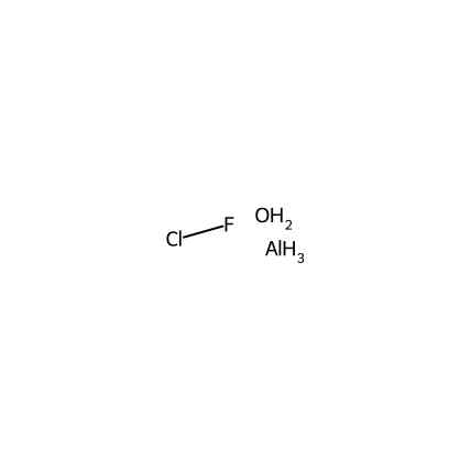 FCl.O.[AlH3]